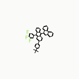 CC(C)(C)c1ccc(-c2ccc3c(-c4cc5ccccc5c5ccccc45)c4ccccc4c(-c4cc(F)c(F)c(F)c4)c3c2)cc1